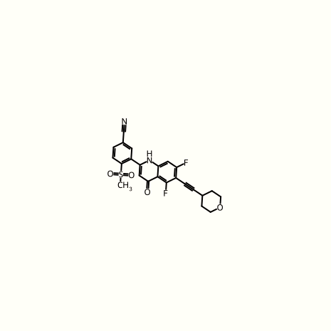 CS(=O)(=O)c1ccc(C#N)cc1-c1cc(=O)c2c(F)c(C#CC3CCOCC3)c(F)cc2[nH]1